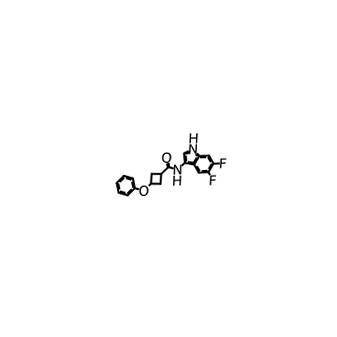 O=C(Nc1c[nH]c2cc(F)c(F)cc12)C1CC(Oc2ccccc2)C1